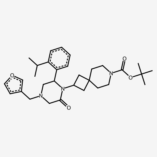 CC(C)c1ccccc1C1CN(Cc2ccoc2)CC(=O)N1C1CC2(CCN(C(=O)OC(C)(C)C)CC2)C1